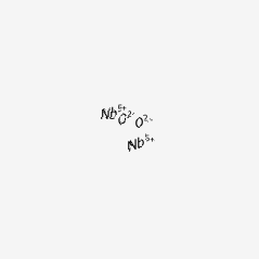 [Nb+5].[Nb+5].[O-2].[O-2]